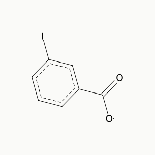 [O]C(=O)c1cccc(I)c1